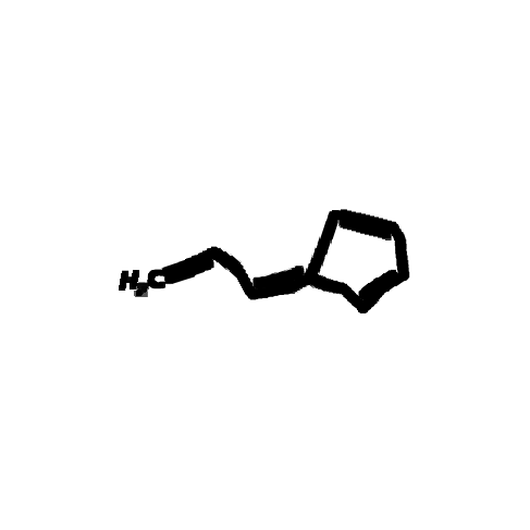 C=CC=C1C=CC=C1